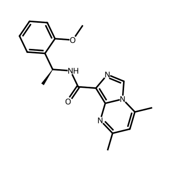 COc1ccccc1[C@H](C)NC(=O)c1ncn2c(C)cc(C)nc12